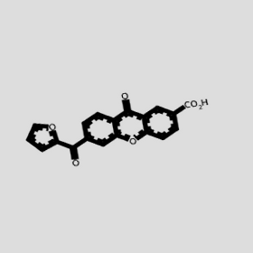 O=C(O)c1ccc2oc3cc(C(=O)c4ccco4)ccc3c(=O)c2c1